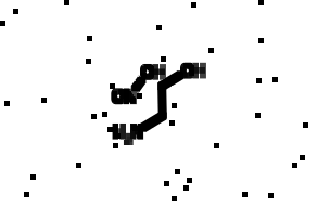 NCCO.O=NO